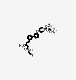 CC(CCc1cccc(-c2cccc(OC3CCN(C(=O)OC(C)(C)C)CC3)c2)c1)CC(=O)NCC#N